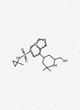 CC1(C)CN(c2cc(S(=O)(=O)NC3(C)CC3)cn3cncc23)CC(CO)N1